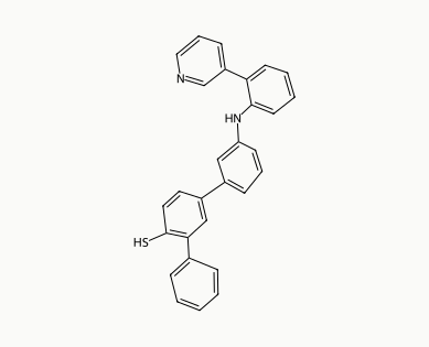 Sc1ccc(-c2cccc(Nc3ccccc3-c3cccnc3)c2)cc1-c1ccccc1